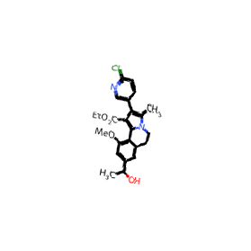 CCOC(=O)c1c(-c2ccc(Cl)nc2)c(C)n2c1-c1c(cc(C(C)O)cc1OC)CC2